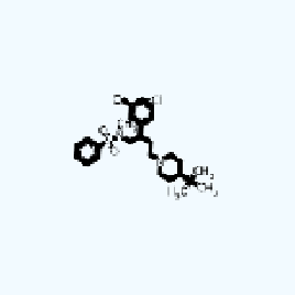 CN(CC(CCN1CCC(C(C)(C)C)CC1)c1cccc(Cl)c1)S(=O)(=O)c1ccccc1.Cl